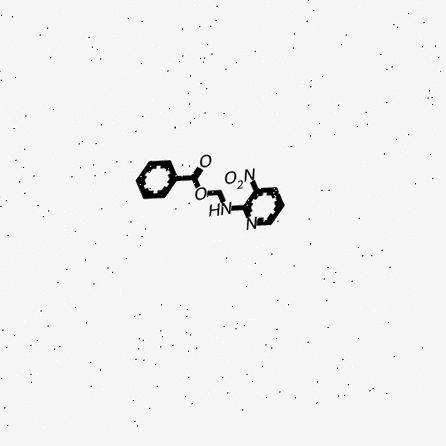 O=C(OCNc1ncccc1[N+](=O)[O-])c1ccccc1